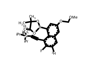 [2H]c1cc2cc(OCOC)cc(B3OC(C)(C)C(C)(C)O3)c2c(C#C[Si](C(C)C)(C(C)C)C(C)C)c1F